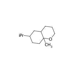 CC(C)C1CCC2(C)OCCCC2C1